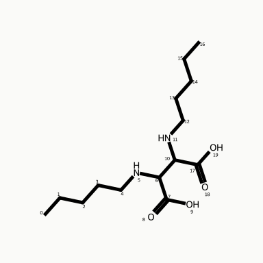 CCCCCNC(C(=O)O)C(NCCCCC)C(=O)O